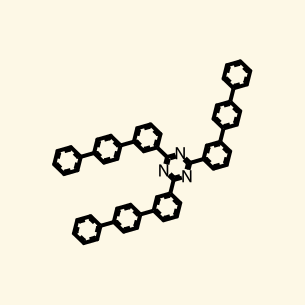 c1ccc(-c2ccc(-c3cccc(-c4nc(-c5cccc(-c6ccc(-c7ccccc7)cc6)c5)nc(-c5cccc(-c6ccc(-c7ccccc7)cc6)c5)n4)c3)cc2)cc1